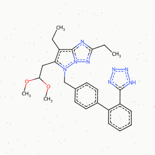 CCc1nc2c(CC)c(CC(OC)OC)n(Cc3ccc(-c4ccccc4-c4nnn[nH]4)cc3)n2n1